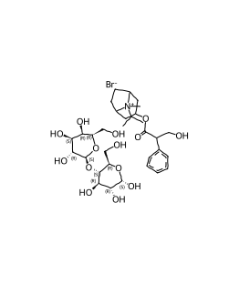 CC(C)[N+]1(C)C2CCC1CC(OC(=O)C(CO)c1ccccc1)C2.OC[C@H]1O[C@@H](O[C@H]2[C@H](O)[C@@H](O)[C@@H](O)O[C@@H]2CO)[C@H](O)[C@@H](O)[C@H]1O.[Br-]